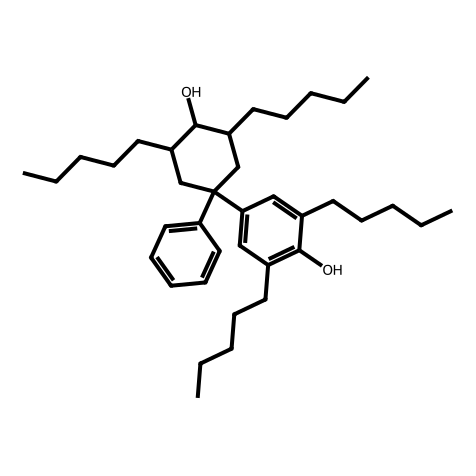 CCCCCc1cc(C2(c3ccccc3)CC(CCCCC)C(O)C(CCCCC)C2)cc(CCCCC)c1O